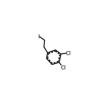 Clc1ccc(CCI)cc1Cl